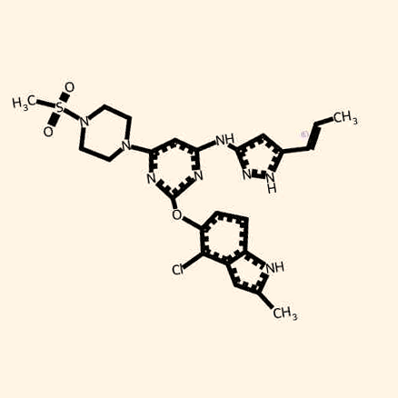 C/C=C/c1cc(Nc2cc(N3CCN(S(C)(=O)=O)CC3)nc(Oc3ccc4[nH]c(C)cc4c3Cl)n2)n[nH]1